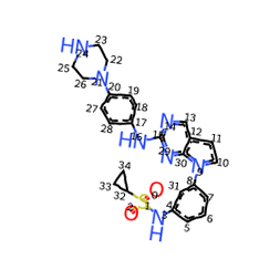 O=S(=O)(Nc1cccc(-n2ccc3cnc(Nc4ccc(N5CCNCC5)cc4)nc32)c1)C1CC1